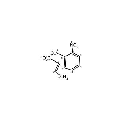 CC=CC(=O)O.O=[N+]([O-])c1ccccc1[N+](=O)[O-]